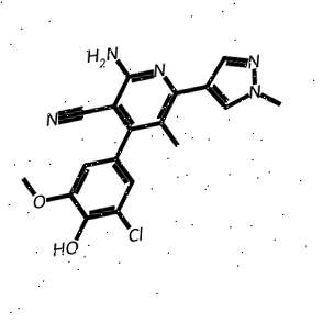 COc1cc(-c2c(C)c(-c3cnn(C)c3)nc(N)c2C#N)cc(Cl)c1O